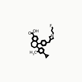 Cc1cc(C2CC2)ccc1C1=C(c2ccc(C=C3CN(CCCF)C3)cc2)c2ccc(C(=O)O)cc2CCC1